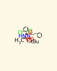 C[C@@H](N[C@@H](c1c(Cl)cccc1Cl)N(C(=O)CCc1ccccc1)C(=O)OC(C)(C)C)c1ccccc1